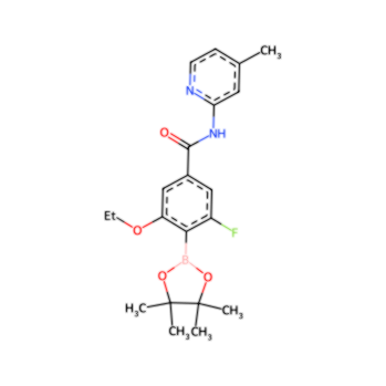 CCOc1cc(C(=O)Nc2cc(C)ccn2)cc(F)c1B1OC(C)(C)C(C)(C)O1